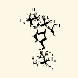 CC(C)(C)N(C(=O)O)c1cc(CO[Si](C)(C)C(C)(C)C)ccc1B1OC(C)(C)C(C)(C)O1